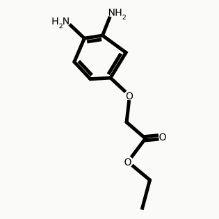 CCOC(=O)COc1ccc(N)c(N)c1